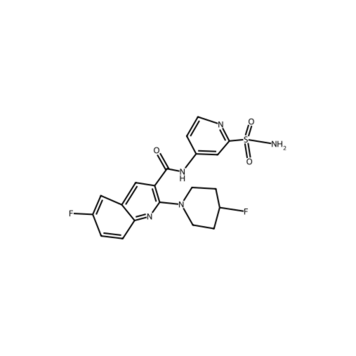 NS(=O)(=O)c1cc(NC(=O)c2cc3cc(F)ccc3nc2N2CCC(F)CC2)ccn1